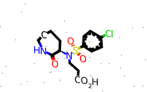 O=C(O)CCN([C@@H]1CCCCNC1=O)S(=O)(=O)c1ccc(Cl)cc1